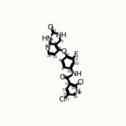 O=C1NCc2c(Oc3ccc(NC(=O)c4cc(Cl)cnc4Cl)cc3F)ccnc2N1